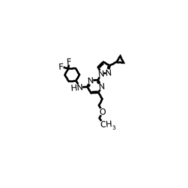 CCOCCc1cc(NC2CCC(F)(F)CC2)nc(-n2ccc(C3CC3)n2)n1